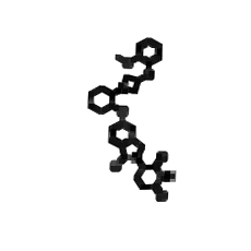 COc1ccccc1OC1CN([C@@H]2CCCC[C@@H]2Oc2ccc3c(c2)CN(C2CCC(=O)NC2=O)C3=O)C1